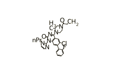 C=CC(=O)N1CCN(c2nc(=O)n(-c3nccn3CCC)c3cc(-c4ccccc4F)c(Cl)cc23)[C@@H](C)C1